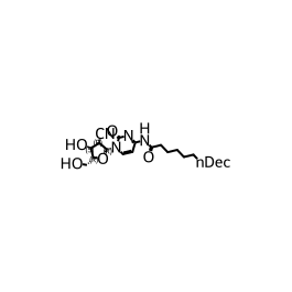 CCCCCCCCCCCCCCCC(=O)Nc1ccn([C@@H]2O[C@H](CO)[C@@H](O)[C@H]2C#N)c(=O)n1